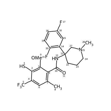 COc1c(S)c(C(F)(F)F)cc(C)c1C(=O)NC1(c2cc(F)ccc2F)CCCN(C)C1